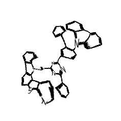 c1ccc(-c2nc(-c3ccc(-n4c5ccccc5c5ccccc54)c(-c4ccccc4)c3)nc(-n3c4ccccc4c4ccc5sc6ncccc6c5c43)n2)cc1